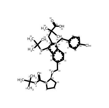 CC(C)(C)OC(=O)N1CCC[C@@H]1OCc1ccc2c(c1)c(SC(C)(C)C)c(CC(C)(C)C(=O)O)n2Cc1ccc(Cl)cc1